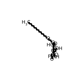 CCCCCCCCCCCCCCCCOCCCOP(=O)(O)OCC1OC(n2cc(F)c(=O)[nH]c2=O)CC1O